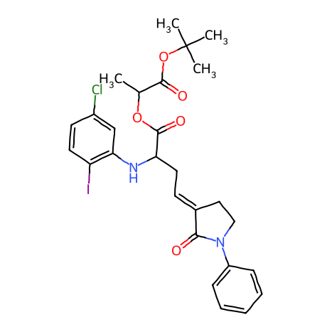 CC(OC(=O)C(CC=C1CCN(c2ccccc2)C1=O)Nc1cc(Cl)ccc1I)C(=O)OC(C)(C)C